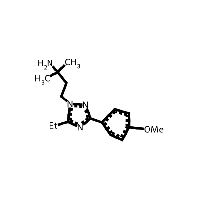 CCc1nc(-c2ccc(OC)cc2)nn1CCC(C)(C)N